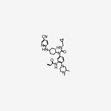 C=CC(=O)Nc1cc(N(C(=O)NCC2CC2)C2CCC(Nc3ccc(C#N)cn3)CC2)ccc1N1CCN(C)C(C)C1